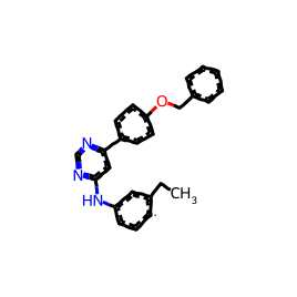 CCc1[c]ccc(Nc2cc(-c3ccc(OCc4ccccc4)cc3)ncn2)c1